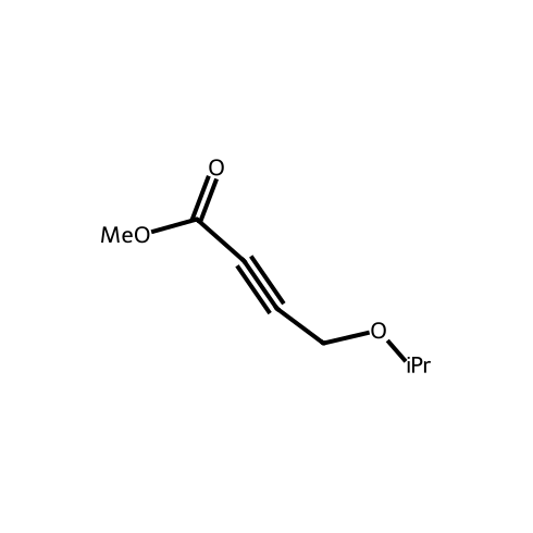 COC(=O)C#CCOC(C)C